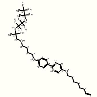 C=CCCCCCCOc1cnc(-c2ccc(OCCCCOCC(F)(F)OC(F)(F)C(F)(F)OC(F)(F)C(F)(F)F)cc2)nc1